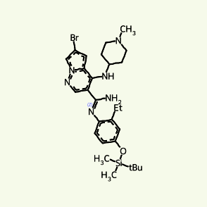 CCc1cc(O[Si](C)(C)C(C)(C)C)ccc1/N=C(\N)c1cnn2cc(Br)cc2c1NC1CCN(C)CC1